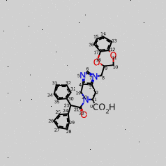 O=C(O)C1Cc2c(ncn2CC2COc3ccccc3O2)CN1C(=O)C(c1ccccc1)c1ccccc1